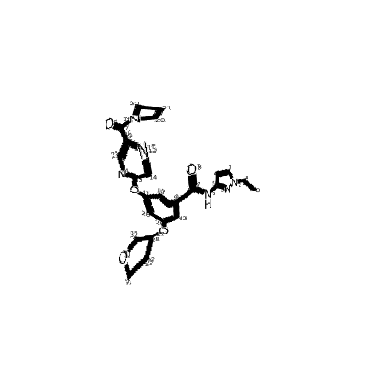 CCn1ccc(NC(=O)c2cc(Oc3cnc(C(=O)N4CCC4)cn3)cc(O[C@H]3CCOC3)c2)n1